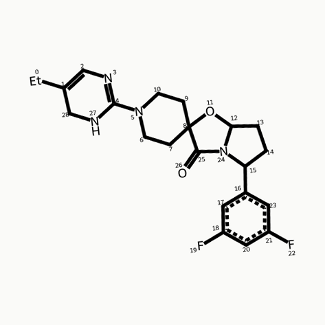 CCC1=CN=C(N2CCC3(CC2)OC2CCC(c4cc(F)cc(F)c4)N2C3=O)NC1